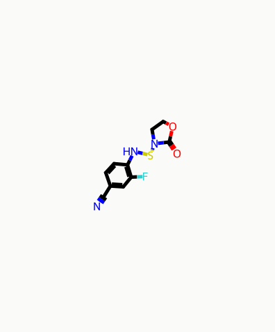 N#Cc1ccc(NSN2CCOC2=O)c(F)c1